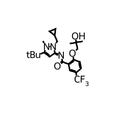 Cn1c(C(C)(C)C)cc(=NC(=O)c2cc(C(F)(F)F)ccc2OCC(C)(C)O)n1CC1CC1